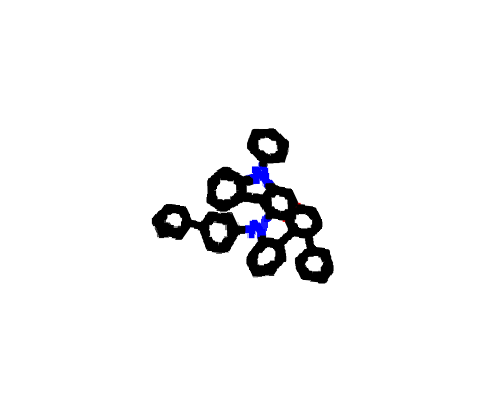 c1ccc(-c2ccc(N(c3ccccc3-c3ccccc3-c3ccccc3)c3cccc4c3c3ccccc3n4-c3ccccc3)cc2)cc1